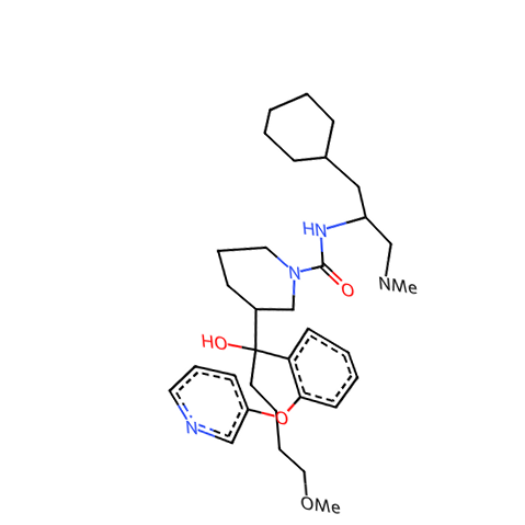 CNCC(CC1CCCCC1)NC(=O)N1CCCC(C(O)(CCCCOC)c2ccccc2Oc2cccnc2)C1